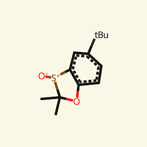 CC(C)(C)c1ccc2c(c1)[S+]([O-])C(C)(C)O2